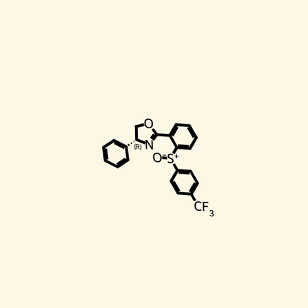 [O-][S+](c1ccc(C(F)(F)F)cc1)c1ccccc1C1=N[C@H](c2ccccc2)CO1